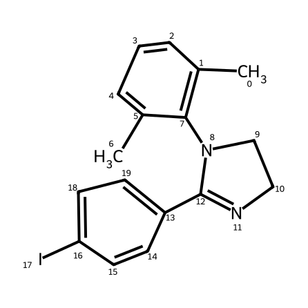 Cc1cccc(C)c1N1CCN=C1c1ccc(I)cc1